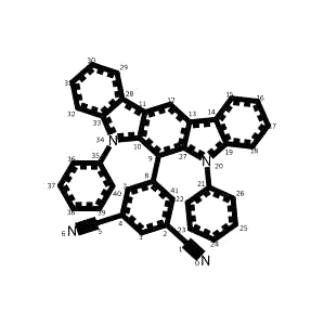 N#Cc1cc(C#N)cc(-c2c3c(cc4c5ccccc5n(-c5ccccc5)c24)c2ccccc2n3-c2ccccc2)c1